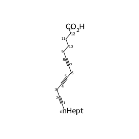 CCCCCCCC#CCC#CCC#CCCCCC(=O)O